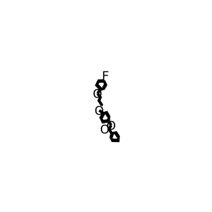 O=C(Oc1ccc(OCCCOc2ccc(F)cc2)cc1)c1ccccc1